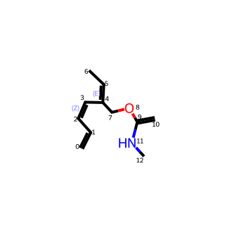 C=C/C=C\C(=C/C)COC(=C)NC